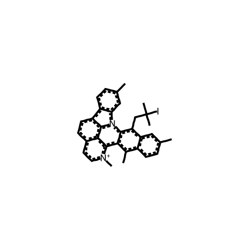 Cc1ccc2c(C)c3c(c(CC(C)(C)I)c2c1)n1c2cc(C)ccc2c2ccc4cc[n+](C)c3c4c21